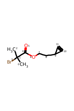 CC(C)(Br)C(=O)OCCC1C#C1